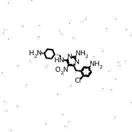 Nc1ccc(Cl)c(Cc2nc(N)nc(NC[C@H]3CC[C@H](N)CC3)c2[N+](=O)[O-])c1